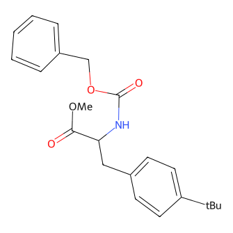 COC(=O)C(Cc1ccc(C(C)(C)C)cc1)NC(=O)OCc1ccccc1